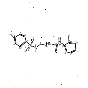 Cc1ccc(S(=O)(=O)NCCNC(=S)Nc2ccccc2C)cc1